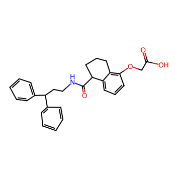 O=C(O)COc1cccc2c1CCCC2C(=O)NCCC(c1ccccc1)c1ccccc1